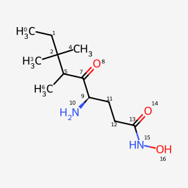 CCC(C)(C)C(C)C(=O)[C@H](N)CCC(=O)NO